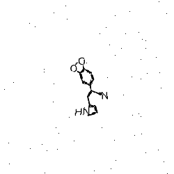 N#CC(=Cc1ccc[nH]1)c1ccc2c(c1)OCO2